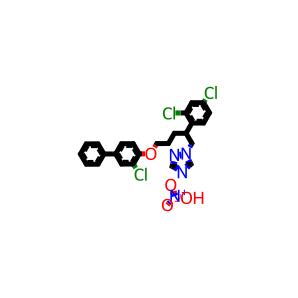 Clc1ccc(C(CCCOc2ccc(-c3ccccc3)cc2Cl)Cn2cncn2)c(Cl)c1.O=[N+]([O-])O